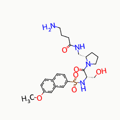 COc1ccc2ccc(S(=O)(=O)N[C@@H](CO)C(=O)N3CCC[C@H]3CNC(=O)CCCN)cc2c1